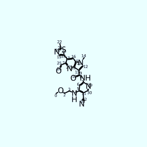 COCCNc1cc(NC(=O)c2cn(C)c3cc(-c4cnc(C)s4)c(C=O)nc23)ncc1C#N